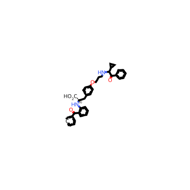 O=C(c1ccccc1)c1ccccc1N[C@@H](Cc1ccc(OCCCNC(C(=O)c2ccccc2)C2CC2)cc1)C(=O)O